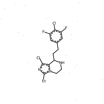 CCc1nc(Cl)c2n1CCNC2CCc1cc(F)c(Cl)c(F)c1